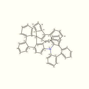 c1ccc2c(c1)-c1ccccc1N(c1ccc3c(c1)C1(c4ccccc4-c4ccccc4-3)c3ccccc3-c3c1ccc1ccccc31)c1ccccc1-2